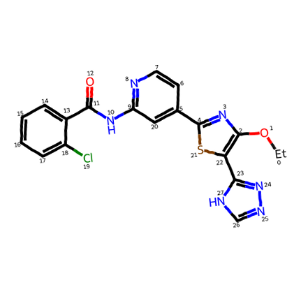 CCOc1nc(-c2ccnc(NC(=O)c3ccccc3Cl)c2)sc1-c1nnc[nH]1